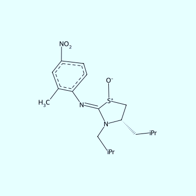 Cc1cc([N+](=O)[O-])ccc1/N=C1/N(CC(C)C)[C@@H](CC(C)C)C[S+]1[O-]